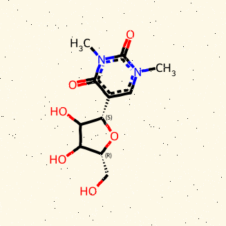 Cn1cc([C@@H]2O[C@H](CO)C(O)C2O)c(=O)n(C)c1=O